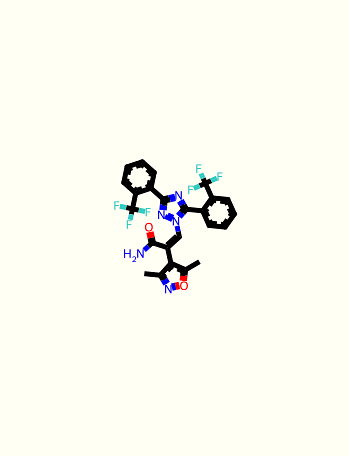 Cc1noc(C)c1C(=Cn1nc(-c2ccccc2C(F)(F)F)nc1-c1ccccc1C(F)(F)F)C(N)=O